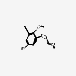 COCOc1cc(Br)cc(C)c1OC